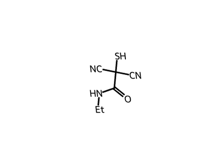 CCNC(=O)C(S)(C#N)C#N